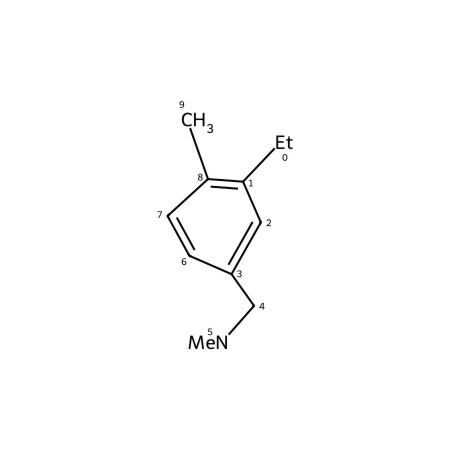 CCc1cc(CNC)ccc1C